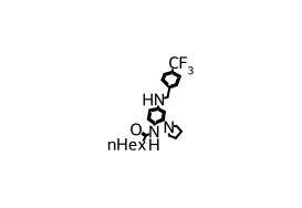 CCCCCCC(=O)Nc1ccc(NCc2ccc(C(F)(F)F)cc2)cc1N1CCCC1